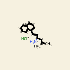 CC(C)C[C@H](N)/C=C/c1cccc2ccccc12.Cl